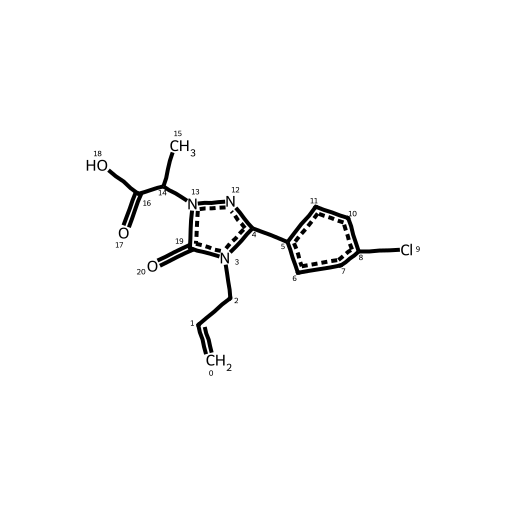 C=CCn1c(-c2ccc(Cl)cc2)nn(C(C)C(=O)O)c1=O